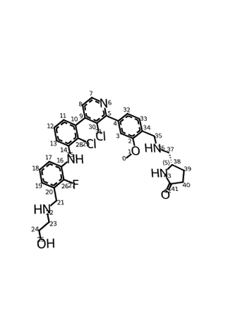 COc1cc(-c2nccc(-c3cccc(Nc4cccc(CNCCO)c4F)c3Cl)c2Cl)ccc1CNC[C@@H]1CCC(=O)N1